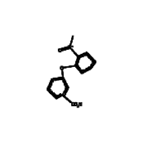 C[N+](=O)c1ccccc1Oc1cccc(C(=O)O)c1